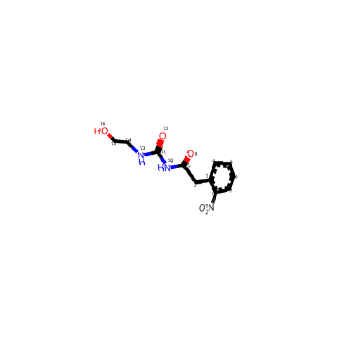 O=C(Cc1ccccc1[N+](=O)[O-])NC(=O)NCCO